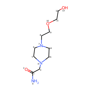 NC(=O)CN1CCN(CCOCCO)CC1